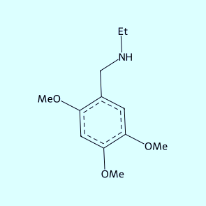 CCNCc1cc(OC)c(OC)cc1OC